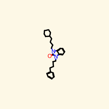 O=c1n(CCCCc2ccccc2)c2ccccc2n1CCCCC1CCCCC1